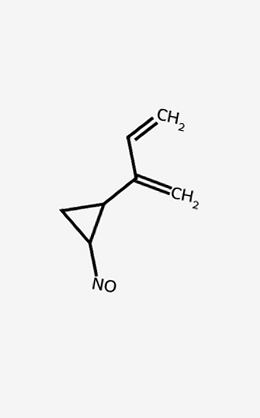 C=CC(=C)C1CC1N=O